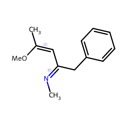 C/N=C(/C=C(/C)OC)Cc1ccccc1